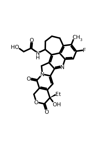 CC[C@@]1(O)C(=O)OCc2c1cc1n(c2=O)Cc2c-1nc1cc(F)c(C)c3c1c2C(NC(=O)CO)CCC3